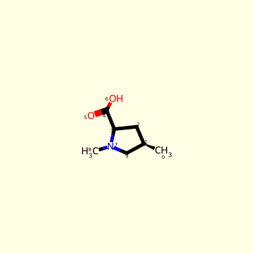 C[C@@H]1CC(C(=O)O)N(C)C1